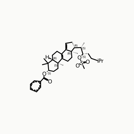 CC(C)CC[C@H](OS(C)(=O)=O)[C@@H](C)[C@H]1CC=C2C3=C(CC[C@@]21C)[C@@]1(C)CC[C@H](OC(=O)c2ccccc2)C(C)(C)[C@@H]1CC3